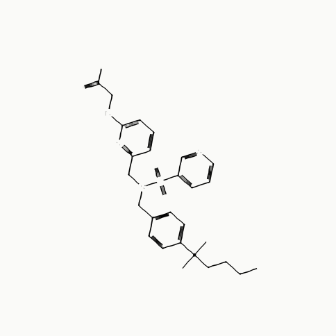 CCCCC(C)(C)c1ccc(CN(Cc2cccc(NCC(=O)O)n2)S(=O)(=O)c2cccnc2)cc1